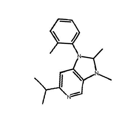 Cc1ccccc1N1c2cc(C(C)C)ncc2N(C)C1C